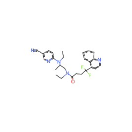 CCN(CC(C)N(CC)c1ccc(C#N)cn1)C(=O)CCC(F)(F)c1ccnc2ccccc12